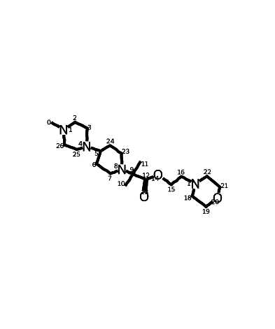 CN1CCN(C2CCN(C(C)(C)C(=O)OCCN3CCOCC3)CC2)CC1